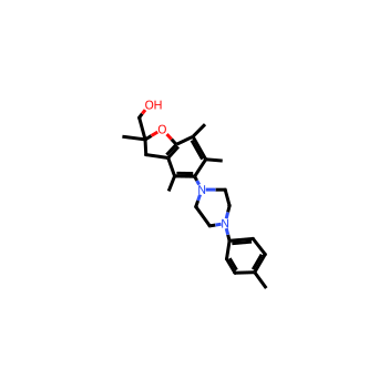 Cc1ccc(N2CCN(c3c(C)c(C)c4c(c3C)CC(C)(CO)O4)CC2)cc1